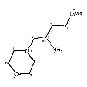 COCC[C@H](N)CN1CCOCC1